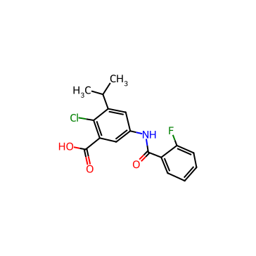 CC(C)c1cc(NC(=O)c2ccccc2F)cc(C(=O)O)c1Cl